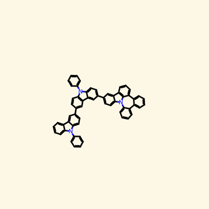 c1ccc(-n2c3ccccc3c3cc(-c4ccc5c(c4)c4cc(-c6ccc7c(c6)c6cccc8c6n7-c6ccccc6-c6ccccc6-8)ccc4n5-c4ccccc4)ccc32)cc1